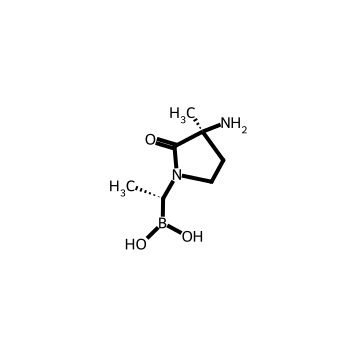 C[C@@H](B(O)O)N1CC[C@](C)(N)C1=O